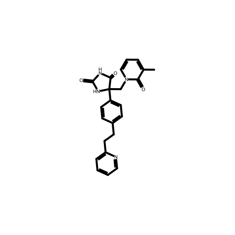 Cc1cccn(CC2(c3ccc(CCc4ccccn4)cc3)NC(=O)NC2=O)c1=O